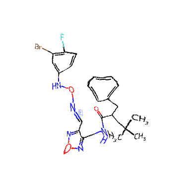 CC(C)(C)C(Cc1ccccc1)C(=O)Nc1nonc1/C=N/ONc1ccc(F)c(Br)c1